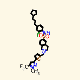 Cn1nc(-c2ccc(CN3CCc4cc(S(=O)(=O)Nc5ccc(CCCC6CCCC6)cc5F)ccc4C3)s2)cc1C(F)(F)F